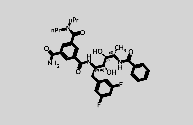 CCCN(CCC)C(=O)c1cc(C(N)=O)cc(C(=O)N[C@H](Cc2cc(F)cc(F)c2)[C@@H](O)[C@H](O)[C@H](C)NC(=O)c2ccccc2)c1